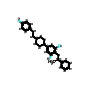 C[C@@H](Cc1c(F)cc(C2CCC(CCc3ccc(F)cc3)CC2)cc1F)c1ccccc1